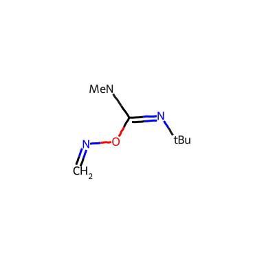 C=NO/C(=N\C(C)(C)C)NC